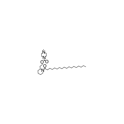 CCCCCCCCCCCCCCCCCC(=O)N1CCCCC1CCOC(=O)N1CCN(C)CC1